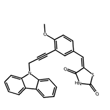 COc1ccc(C=C2SC(=O)NC2=O)cc1C#CCn1c2ccccc2c2ccccc21